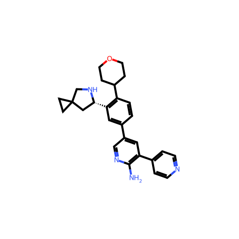 Nc1ncc(-c2ccc(C3CCOCC3)c([C@@H]3CC4(CC4)CN3)c2)cc1-c1ccncc1